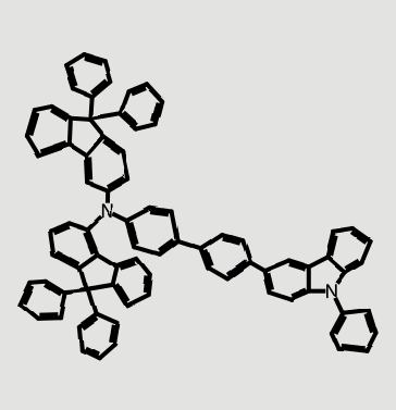 c1ccc(-n2c3ccccc3c3cc(-c4ccc(-c5ccc(N(c6ccc7c(c6)-c6ccccc6C7(c6ccccc6)c6ccccc6)c6cccc7c6-c6ccccc6C7(c6ccccc6)c6ccccc6)cc5)cc4)ccc32)cc1